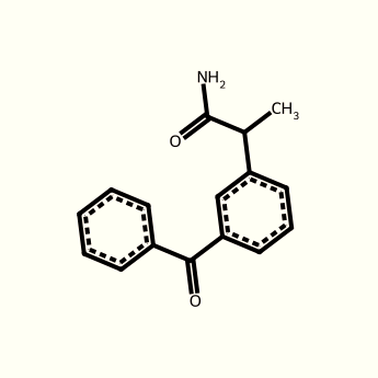 CC(C(N)=O)c1cccc(C(=O)c2ccccc2)c1